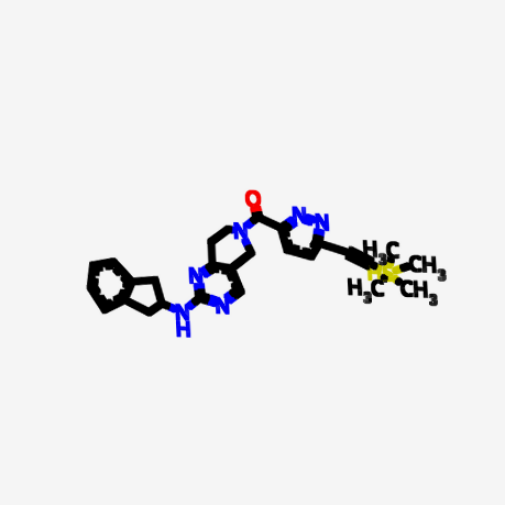 C[SH](C)(C)(C)C#Cc1ccc(C(=O)N2CCc3nc(NC4Cc5ccccc5C4)ncc3C2)nn1